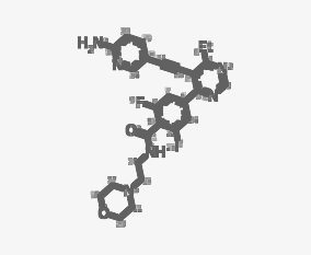 CCc1ncnc(-c2cc(F)c(C(=O)NCCN3CCOCC3)c(F)c2)c1C#Cc1ccc(N)nc1